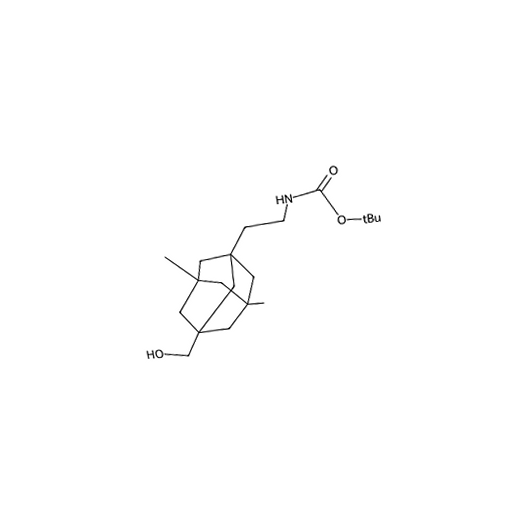 CC12CC3(C)CC(CO)(C1)CC(CCNC(=O)OC(C)(C)C)(C2)C3